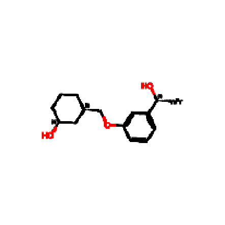 CCC[C@@H](O)c1cccc(OC[C@H]2CCC[C@H](O)C2)c1